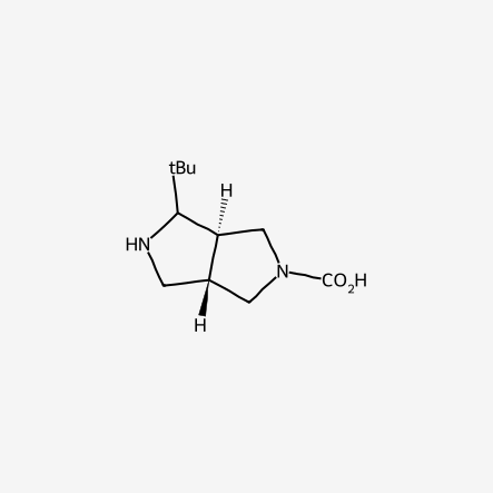 CC(C)(C)C1NC[C@H]2CN(C(=O)O)C[C@H]12